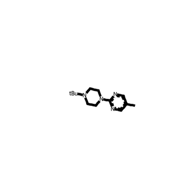 Cc1cnc(N2CCN(C(C)(C)C)CC2)nc1